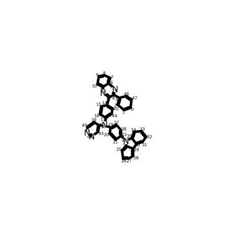 c1ccc(-c2nc3ccccc3nc2-c2ccc(N(c3ccc(-n4c5ccccc5c5ccccc54)cc3)c3ccnnc3)cc2)cc1